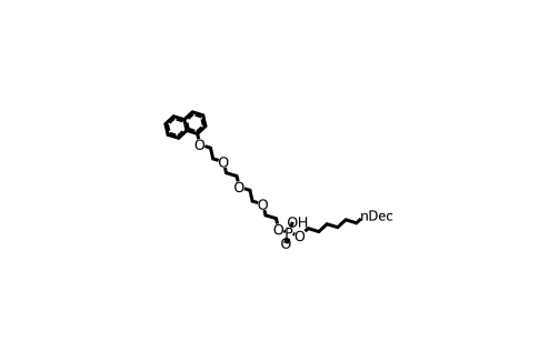 CCCCCCCCCCCCCCCCOP(=O)(O)OCCOCCOCCOCCOc1cccc2ccccc12